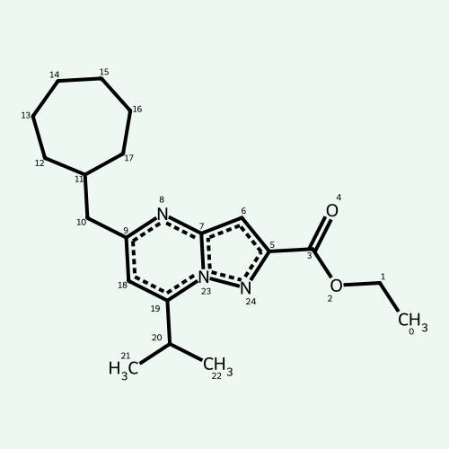 CCOC(=O)c1cc2nc(CC3CCCCCC3)cc(C(C)C)n2n1